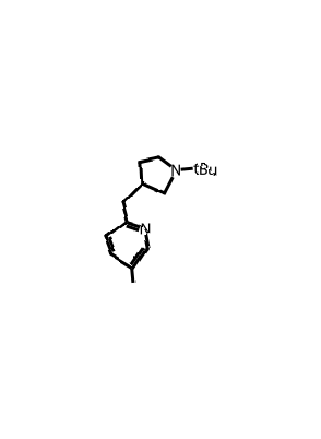 Cc1ccc(CC2CCN(C(C)(C)C)C2)nc1